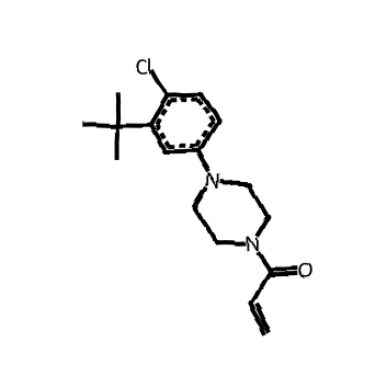 C=CC(=O)N1CCN(c2ccc(Cl)c(C(C)(C)C)c2)CC1